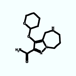 NC(=O)c1nn2c(c1OC1CCCCO1)CNCCC2